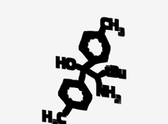 Cc1ccc(C(O)(c2ccc(C)cc2)[C@H](N)C(C)(C)C)cc1